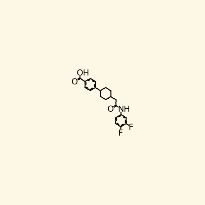 O=C(CC1CCC(c2ccc(C(=O)O)cc2)CC1)Nc1ccc(F)c(F)c1